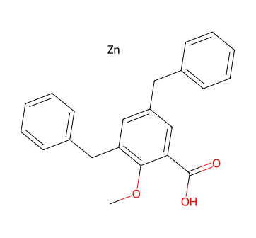 COc1c(Cc2ccccc2)cc(Cc2ccccc2)cc1C(=O)O.[Zn]